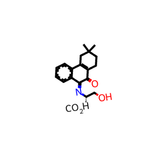 CC1(C)CCC2=C(C1)c1ccccc1/C(=N/[C@H](CO)C(=O)O)C2=O